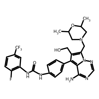 CC1CN(Cc2c(CO)c(-c3ccc(NC(=O)Nc4cc(C(F)(F)F)ccc4F)cc3)c3c(N)ncnn23)CC(C)O1